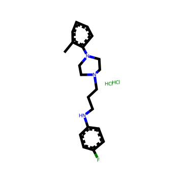 Cc1ccccc1N1CCN(CCCNc2ccc(F)cc2)CC1.Cl.Cl